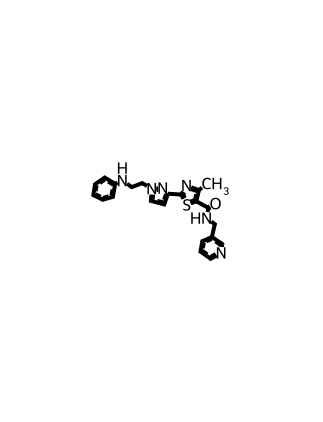 Cc1nc(-c2ccn(CCNc3ccccc3)n2)sc1C(=O)NCc1cccnc1